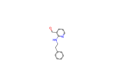 O=Cc1cccnc1NCCc1ccccc1